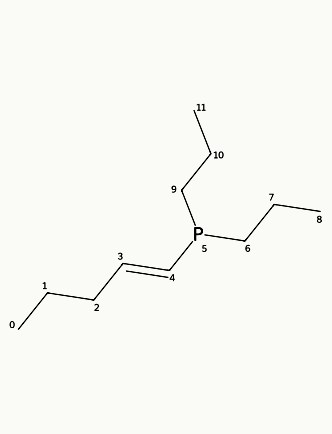 CCCC=CP(CCC)CCC